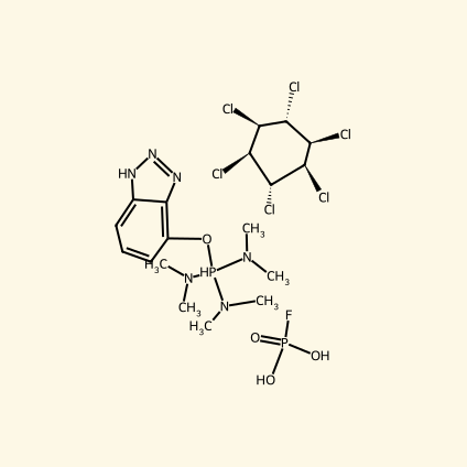 CN(C)[PH](Oc1cccc2[nH]nnc12)(N(C)C)N(C)C.Cl[C@H]1[C@H](Cl)[C@@H](Cl)[C@@H](Cl)[C@H](Cl)[C@H]1Cl.O=P(O)(O)F